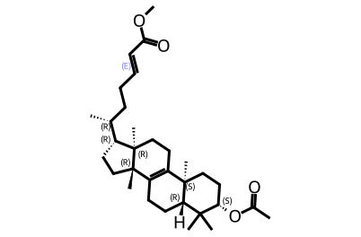 COC(=O)/C=C/CC[C@@H](C)[C@H]1CC[C@@]2(C)C3=C(CC[C@]12C)[C@@]1(C)CC[C@H](OC(C)=O)C(C)(C)[C@@H]1CC3